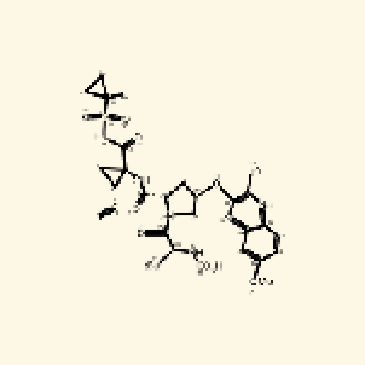 C=C[C@@H]1C[C@]1(NC(=O)[C@@H]1C[C@@H](Oc2nc3cc(OC)ccc3nc2C(C)C)CN1C(=O)[C@@H](NC(=O)O)C(C)(C)C)C(=O)NS(=O)(=O)C1(C)CC1